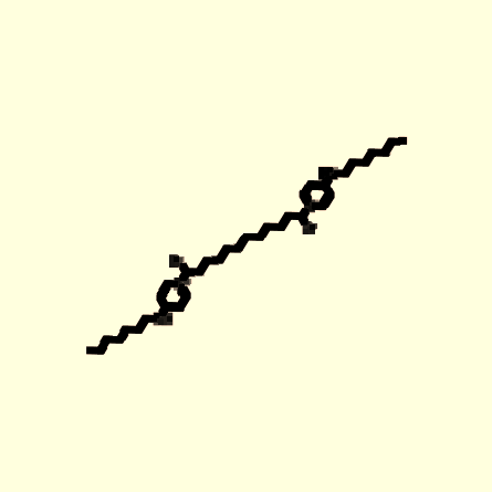 CCCCCCCNc1cc[n+](C(Br)CCCCCCCCCCC(Br)[n+]2ccc(NCCCCCCC)cc2)cc1